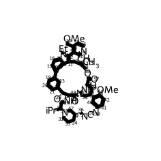 CCn1c(-c2cnccc2COC)c2c3cc(ccc31)-c1cccc(c1)C[C@H](NC(=O)C(C(C)C)N1CCC[C@@H](CN=C=Nc3ccc(OC)cc3)C1)C(=O)N1CCC[C@H](N1)C(=O)OCC(C)(C)C2